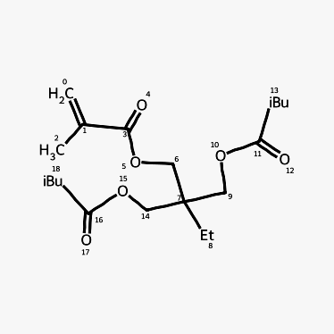 C=C(C)C(=O)OCC(CC)(COC(=O)C(C)CC)COC(=O)C(C)CC